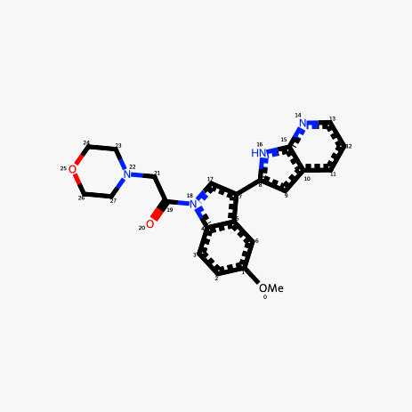 COc1ccc2c(c1)c(-c1cc3cccnc3[nH]1)cn2C(=O)CN1CCOCC1